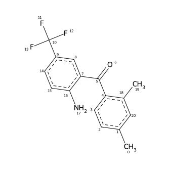 Cc1ccc(C(=O)c2cc(C(F)(F)F)ccc2N)c(C)c1